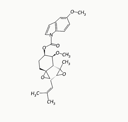 COc1ccc2c(ccn2C(=O)O[C@@H]2CC[C@]3(CO3)[C@@H](C3(C)O[C@@H]3CC=C(C)C)[C@@H]2OC)c1